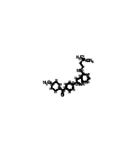 CN(C)CCNc1ncnc2[nH]c(-c3ccc(C(=O)N4CCN(C)CC4)cc3)cc12